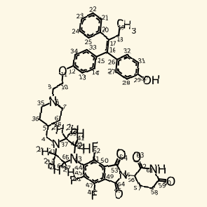 [2H]C1([2H])N(CC2CCN(CCOc3ccc(C(=C(CC)c4ccccc4)c4ccc(O)cc4)cc3)CC2)C([2H])([2H])C([2H])([2H])N(c2c(F)c(F)c3c(c2F)C(=O)N(C2CCC(=O)NC2=O)C3=O)C1([2H])[2H]